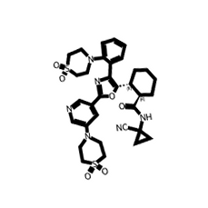 N#CC1(NC(=O)[C@@H]2CCCC[C@H]2c2oc(-c3cncc(N4CCS(=O)(=O)CC4)c3)nc2-c2ccccc2N2CCS(=O)(=O)CC2)CC1